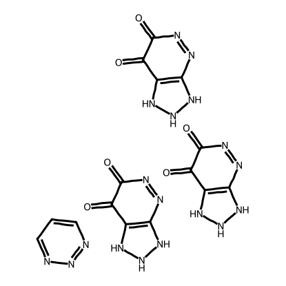 O=c1nnc2[nH][nH][nH]c=2c1=O.O=c1nnc2[nH][nH][nH]c=2c1=O.O=c1nnc2[nH][nH][nH]c=2c1=O.c1cnnnc1